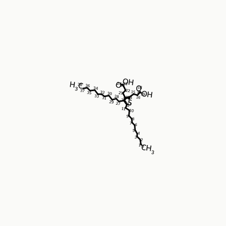 CCCCCCCCCCCCc1sc(CCC(=O)O)c(CCC(=O)O)c1CCCCCCCCCCCC